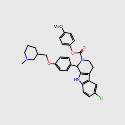 COc1ccc(OC(=O)N2CCc3c([nH]c4ccc(Cl)cc34)C2c2ccc(OCC3CCCN(C)C3)cc2)cc1